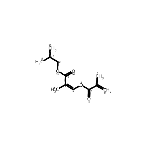 C=C(C)C(=O)OC=C(C)C(=O)OCC(C)C